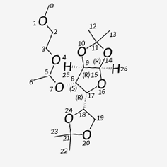 COCCOC(C)O[C@@H]1[C@H]2OC(C)(C)O[C@H]2O[C@@H]1C1COC(C)(C)O1